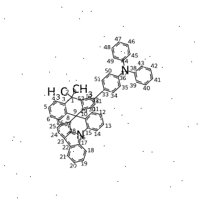 CC1(C)c2ccccc2C2(c3ccccc3-n3c4ccccc4c4cccc2c43)c2ccc(-c3ccc(N(c4ccccc4)c4ccccc4)cc3)cc21